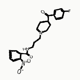 O=C(NCCCN1CCC(C(=O)c2ccc(F)cc2)CC1)c1ccccc1[N+](=O)[O-]